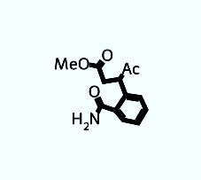 COC(=O)CC(C(C)=O)c1ccccc1C(N)=O